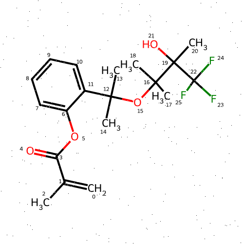 C=C(C)C(=O)Oc1ccccc1C(C)(C)OC(C)(C)C(C)(O)C(F)(F)F